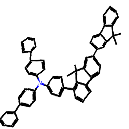 CC1(C)c2ccccc2-c2ccc(-c3ccc4c(c3)C(C)(C)c3c(-c5ccc(N(c6ccc(-c7ccccc7)cc6)c6ccc(-c7ccccc7)cc6)cc5)cccc3-4)cc21